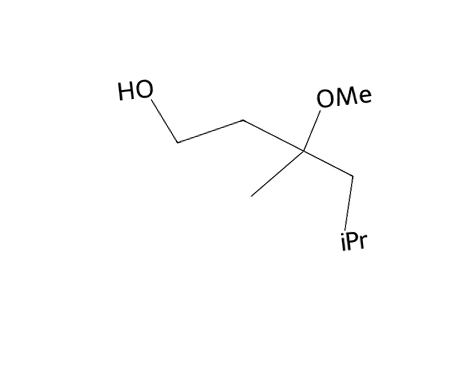 COC(C)(CCO)CC(C)C